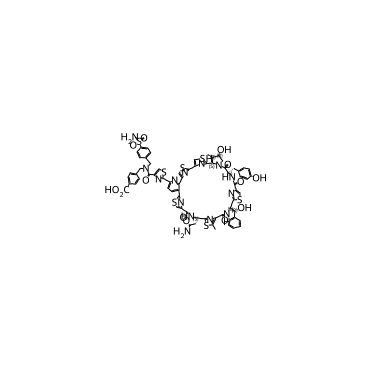 Cc1sc2nc1C(=O)N[C@@H]([C@H](O)c1ccccc1)c1nc(cs1)C(=O)N[C@@H](Cc1ccc(O)cc1)C(=O)N1C[C@H](O)[C@H](C)[C@H]1c1nc(cs1)-c1nc(cs1)-c1nc(-c3nc(C(=O)N(Cc4ccc(C(=O)O)cc4)Cc4ccc(S(N)(=O)=O)cc4)cs3)ccc1-c1nc(cs1)C(=O)N[C@H]2CC(N)=O